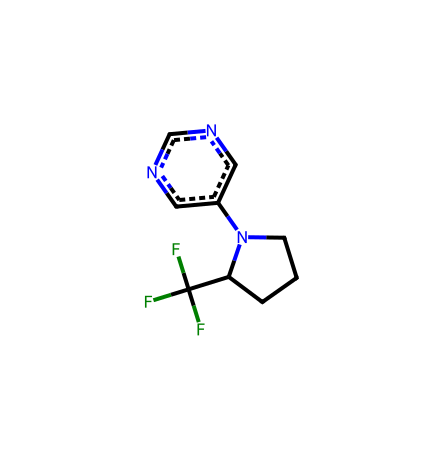 FC(F)(F)C1CCCN1c1cncnc1